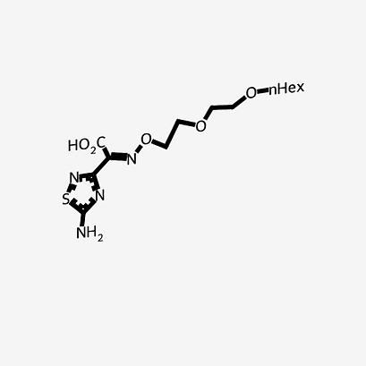 CCCCCCOCCOCCO/N=C(\C(=O)O)c1nsc(N)n1